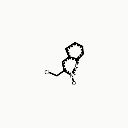 [O-][n+]1cc2ccccc2cc1CCl